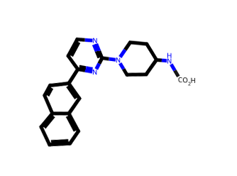 O=C(O)NC1CCN(c2nccc(-c3ccc4ccccc4c3)n2)CC1